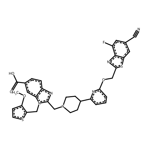 COc1ccsc1Cn1c(CN2CCC(c3cccc(OCc4nc5c(F)cc(C#N)cc5s4)n3)CC2)nc2ccc(C(=O)O)cc21